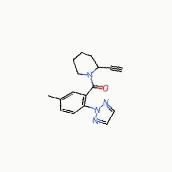 C#CC1CCCCN1C(=O)c1cc(C)ccc1-n1nccn1